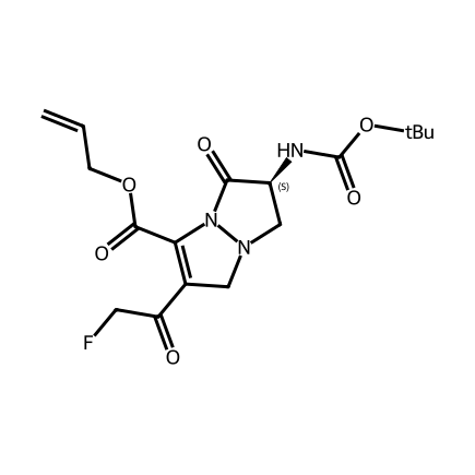 C=CCOC(=O)C1=C(C(=O)CF)CN2C[C@H](NC(=O)OC(C)(C)C)C(=O)N12